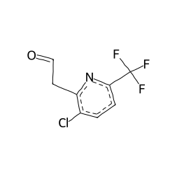 O=CCc1nc(C(F)(F)F)ccc1Cl